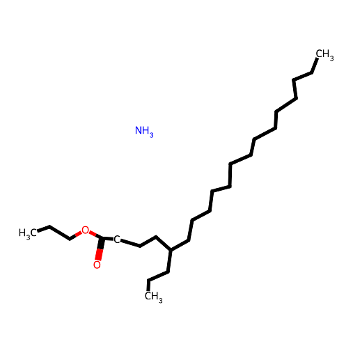 CCCCCCCCCCCCCCC(CCC)CCCC(=O)OCCC.N